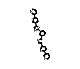 c1cncc(-c2ccc(-c3cnc(-c4cccc(-c5ncc(-c6ccc(-c7cccnc7)nc6)s5)c4)s3)cn2)c1